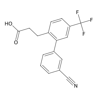 N#Cc1cccc(-c2cc(C(F)(F)F)ccc2CCC(=O)O)c1